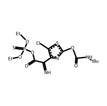 CCOP(=S)(OCC)OC(=O)C(=N)c1nc(OC(=O)NC(C)(C)C)sc1Cl